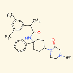 CC(C(=O)NC1(c2ccccc2)CCC(N2CCN(C(C)C)CC2=O)CC1)c1cc(C(F)(F)F)cc(C(F)(F)F)c1